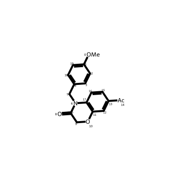 COc1ccc(CN2C(=O)COc3cc(C(C)=O)ccc32)cc1